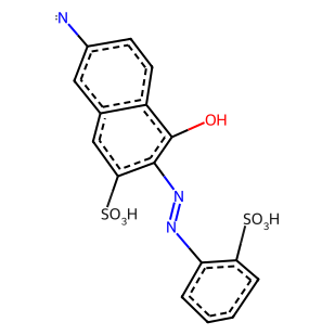 [N]c1ccc2c(O)c(N=Nc3ccccc3S(=O)(=O)O)c(S(=O)(=O)O)cc2c1